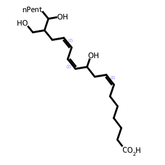 CCCCCC(O)C(CO)C/C=C\C=C/C(O)C/C=C\CCCCCC(=O)O